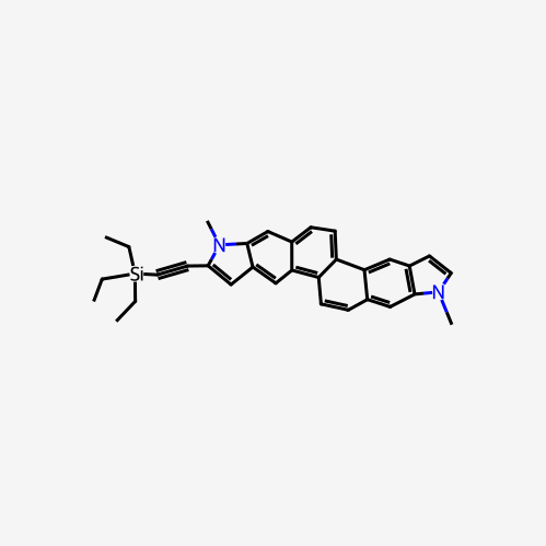 CC[Si](C#Cc1cc2cc3c(ccc4c5cc6ccn(C)c6cc5ccc34)cc2n1C)(CC)CC